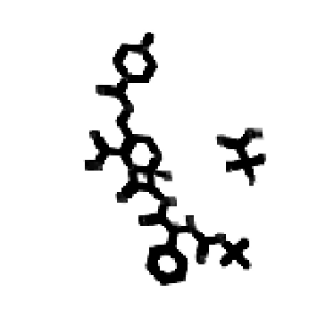 CN1CCN(C(=O)OCC2=C(C(=O)O)N3C(=O)C(NC(=O)[C@@H](NC(=O)OC(C)(C)C)c4ccccc4)[C@@H]3SC2)CC1.O=C(O)C(F)(F)F